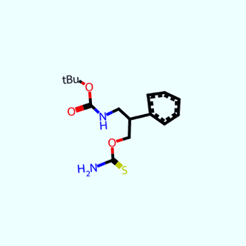 CC(C)(C)OC(=O)NCC(COC(N)=S)c1ccccc1